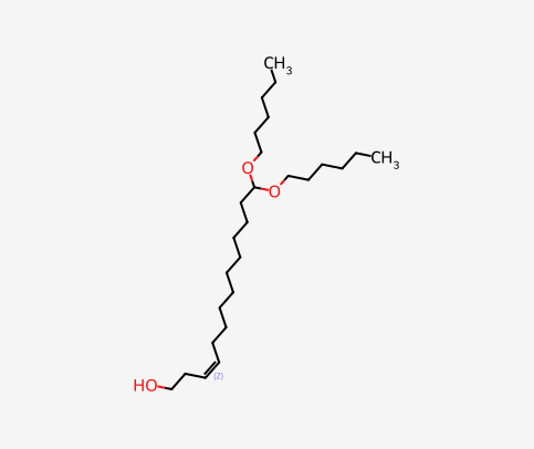 CCCCCCOC(CCCCCCCCC/C=C\CCO)OCCCCCC